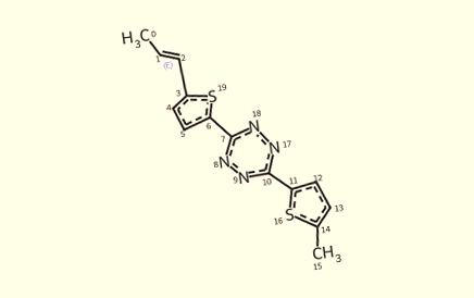 C/C=C/c1ccc(-c2nnc(-c3ccc(C)s3)nn2)s1